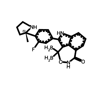 BC1(B)ONC(=O)c2cccc3[nH]c(-c4ccc([C@]5(C)CCCN5)c(F)c4)c1c23